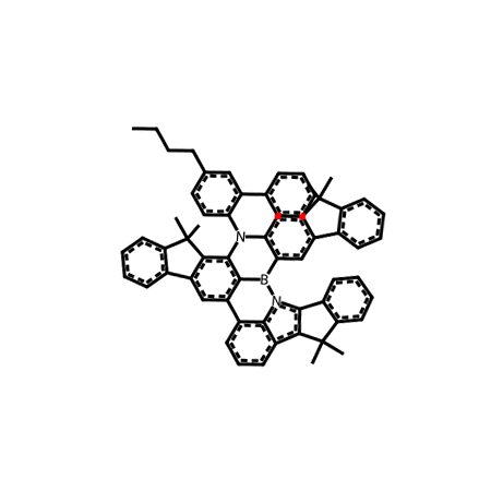 CCCCc1ccc(N2c3cc4c(cc3B3c5c(cc6c(c52)C(C)(C)c2ccccc2-6)-c2cccc5c6c(n3c25)-c2ccccc2C6(C)C)-c2ccccc2C4(C)C)c(-c2ccccc2)c1